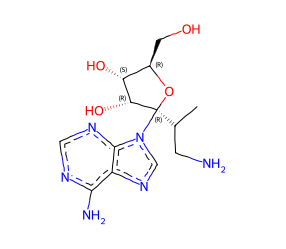 CC(CN)[C@@]1(n2cnc3c(N)ncnc32)O[C@H](CO)[C@@H](O)[C@H]1O